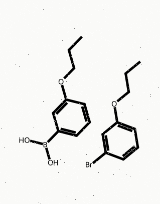 CCCOc1cccc(B(O)O)c1.CCCOc1cccc(Br)c1